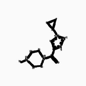 C=C(c1cn(C2CC2)nn1)N1CCN(C)CC1